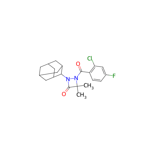 CC1(C)C(=O)N(C2C3CC4CC(C3)CC2C4)N1C(=O)c1ccc(F)cc1Cl